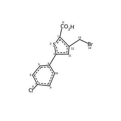 O=C(O)c1sc(-c2ccc(Cl)cc2)cc1CBr